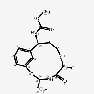 C[C@@H]1CCC[C@H](NC(=O)OC(C)(C)C)c2cccc(c2)C[C@H](C(=O)O)NC1=O